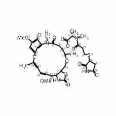 COc1cc2cc(c1Cl)N(C)C(=O)C[C@H](OC(=O)[C@H](C)N(C)C(=O)CCSC1CC(=O)NC1=O)C(C)OCC1OC(=O)NC1[C@H](OC)/C=C/C=C(\C)C2